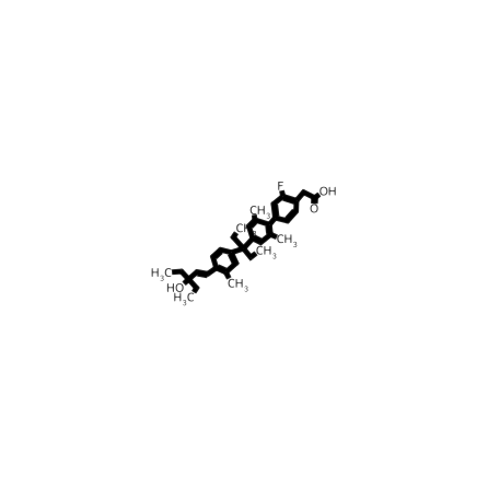 CCC(O)(C=Cc1ccc(C(CC)(CC)c2cc(C)c(-c3ccc(CC(=O)O)c(F)c3)c(C)c2)cc1C)CC